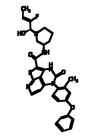 C/C=C(\F)[C@@H](O)N1CCC[C@@H](NC(=O)c2sc3nccc4c3c2NC(=O)N4c2ccc(Oc3ccccc3)cc2C)C1